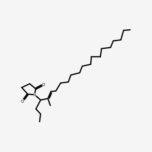 CCCCCCCCCCCCCCCC=C(C)C(CCC)N1C(=O)CCC1=O